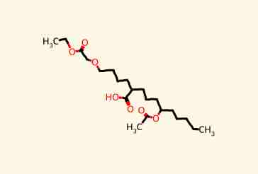 CCCCCC(CCCC(CCCCOCC(=O)OCC)C(=O)O)OC(C)=O